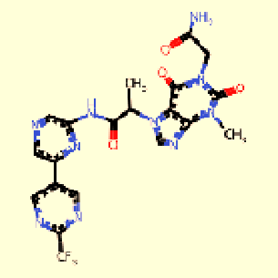 CC(C(=O)Nc1cncc(-c2cnc(C(F)(F)F)nc2)n1)n1cnc2c1c(=O)n(CC(N)=O)c(=O)n2C